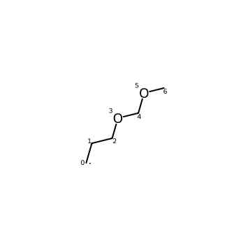 [CH2]CCOCOC